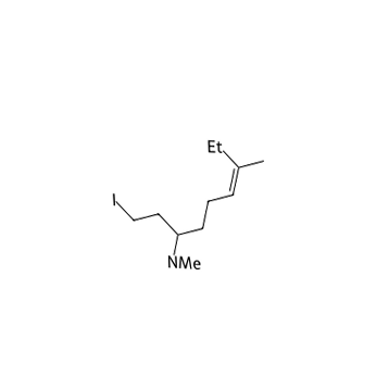 CC/C(C)=C\CCC(CCI)NC